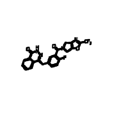 O=C(c1cc(Cc2n[nH]c(=O)c3ccccc23)ccc1F)N1Cc2nc(C(F)(F)F)oc2C1